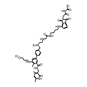 CCOCCCNc1cc(-c2ccc(CN(CC)CCNCC(=O)NCCCCNc3cccc4c3C(=O)N(CC(=O)NC(=O)CC)C4=O)cc2)cc(C(=O)NCc2c(C)cc(C)[nH]c2=O)c1C